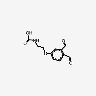 O=Cc1ccc(OCCNC(=O)O)cc1C=O